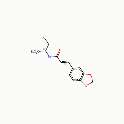 CCOC(=O)[C@H](CC(C)C)NC(=O)/C=C/c1ccc2c(c1)OCO2